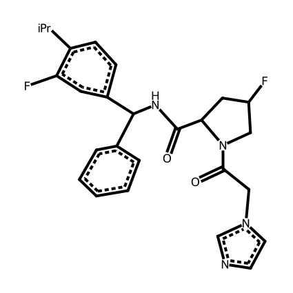 CC(C)c1ccc(C(NC(=O)C2CC(F)CN2C(=O)Cn2ccnc2)c2ccccc2)cc1F